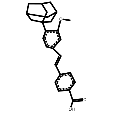 COc1cc(C=Cc2ccc(C(=O)O)cc2)ccc1C12CC3CC(CC(C3)C1)C2